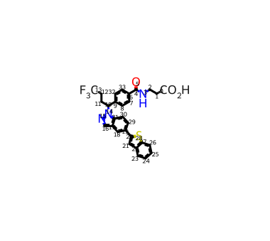 O=C(O)CCNC(=O)c1ccc(C(CCC(F)(F)F)n2ncc3cc(-c4cc5ccccc5s4)ccc32)cc1